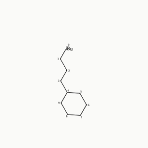 [CH2]C(CC)CCCC1CCCCC1